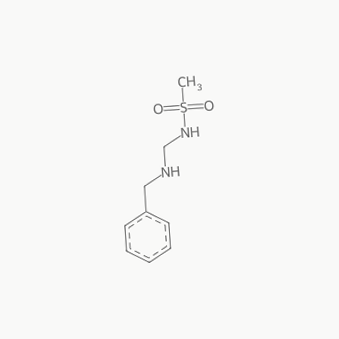 CS(=O)(=O)NCNCc1ccccc1